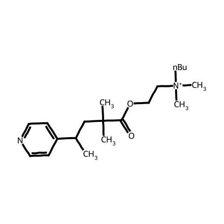 CCCC[N+](C)(C)CCOC(=O)C(C)(C)CC(C)c1ccncc1